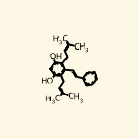 CC(C)=CCc1c(O)cc(O)c(CC=C(C)C)c1C=Cc1ccccc1